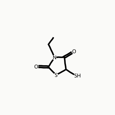 CCN1C(=O)SC(S)C1=O